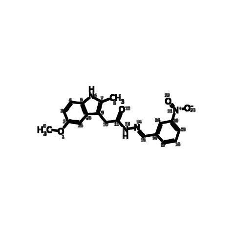 COc1ccc2[nH]c(C)c(CC(=O)N/N=C/c3cccc([N+](=O)[O-])c3)c2c1